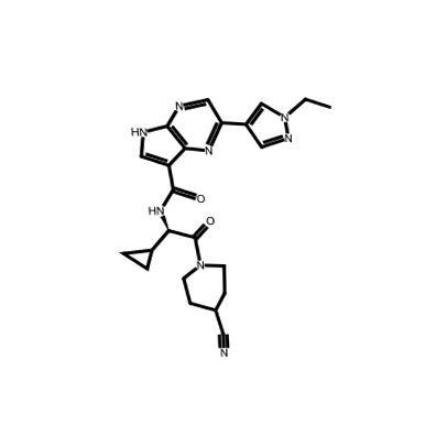 CCn1cc(-c2cnc3[nH]cc(C(=O)N[C@@H](C(=O)N4CCC(C#N)CC4)C4CC4)c3n2)cn1